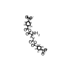 N[C@@H](CCC(=O)OC(=O)c1ccc([N+](=O)[O-])cc1)C(=O)OC(=O)c1ccc([N+](=O)[O-])cc1